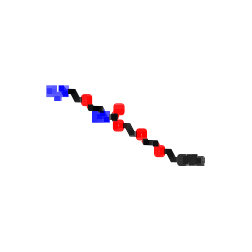 COCCOCCOCCOC(=O)NCCOCCN